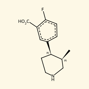 C[C@H]1CNCC[C@H]1c1ccc(F)c(C(=O)O)c1